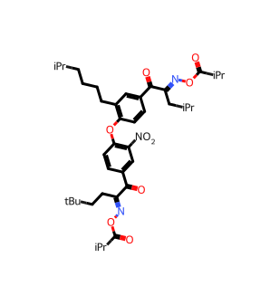 CC(C)CCCCc1cc(C(=O)/C(CC(C)C)=N/OC(=O)C(C)C)ccc1Oc1ccc(C(=O)/C(CCC(C)(C)C)=N/OC(=O)C(C)C)cc1[N+](=O)[O-]